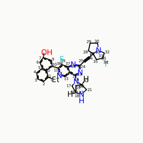 CCc1cccc2cc(O)cc(-c3ncc4c(N5C[C@@H]6C[C@H]5CN6)nc(C#C[C@@]56CCCN5C[C@H](F)C6)nc4c3F)c12